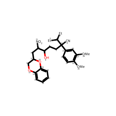 CCC(CC)C(C#N)(CCC(O)C(CC1COc2ccccc2O1)[N+](=O)[O-])c1ccc(OC)c(OC)c1